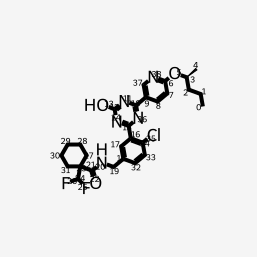 CCC[C@H](C)Oc1ccc(-c2nc(O)nc(-c3cc(CNC(=O)C4(C(F)F)CCCCC4)ccc3Cl)n2)cn1